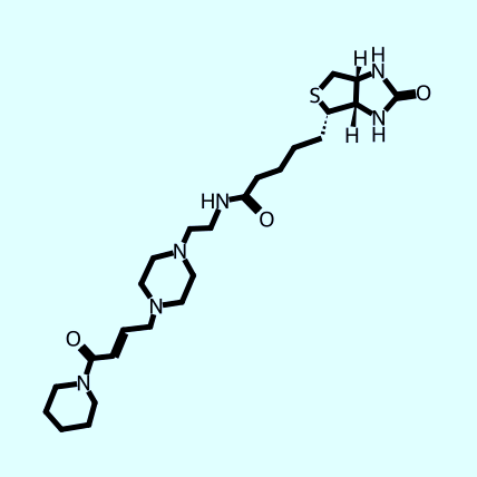 O=C(CCCC[C@@H]1SC[C@@H]2NC(=O)N[C@@H]21)NCCN1CCN(C/C=C/C(=O)N2CCCCC2)CC1